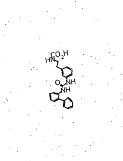 O=C(O)NCCc1cccc(NC(=O)Nc2ccccc2-c2ccccc2)c1